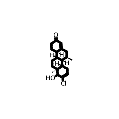 C[C@@H]1CC2=CC(=O)CC[C@@H]2[C@H]2CC[C@]3(C)C(O)C(Cl)=CC[C@H]3[C@@H]21